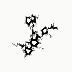 C=CC(=O)N1CC[C@@H](Oc2nc(OC[C@@]34CCCN3C[C@H](F)C4)nc3c(F)c(-c4ccc(F)c5sc(N)nc45)c(C(F)(F)F)cc23)[C@H]1C